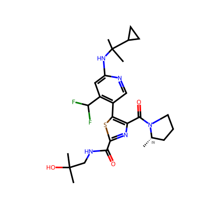 C[C@H]1CCCN1C(=O)c1nc(C(=O)NCC(C)(C)O)sc1-c1cnc(NC(C)(C)C2CC2)cc1C(F)F